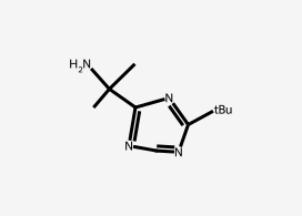 CC(C)(C)c1ncnc(C(C)(C)N)n1